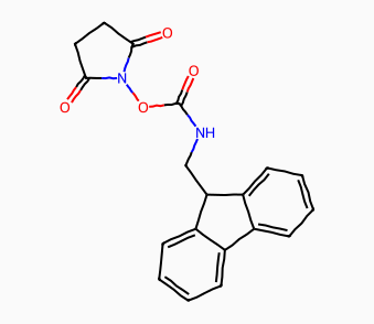 O=C(NCC1c2ccccc2-c2ccccc21)ON1C(=O)CCC1=O